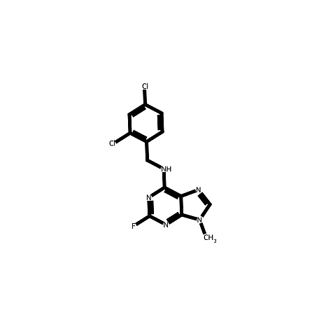 Cn1cnc2c(NCc3ccc(Cl)cc3Cl)nc(F)nc21